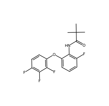 CC(C)(C)C(=O)Nc1c(F)cccc1Oc1ccc(F)c(F)c1F